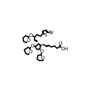 O=C(O)CCCC=CC[C@@H]1[C@@H](C=CC(CCc2ccc(Br)s2)OC2CCCCO2)[C@H](OC2CCCCO2)C[C@@H]1OC1CCCCO1